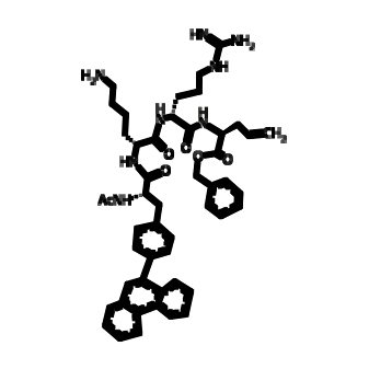 C=CC[C@H](NC(=O)[C@@H](CCCNC(=N)N)NC(=O)[C@@H](CCCCN)NC(=O)[C@H](Cc1ccc(-c2cc3ccccc3c3ccccc23)cc1)NC(C)=O)C(=O)OCc1ccccc1